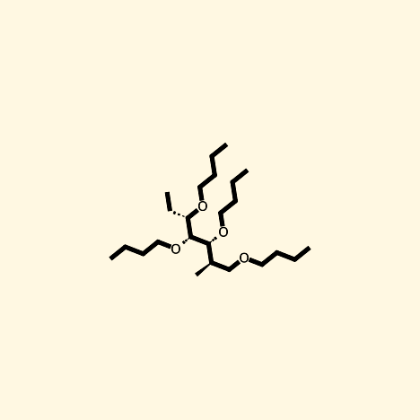 CCCCOC[C@@H](C)[C@@H](OCCCC)[C@H](OCCCC)[C@H](CC)OCCCC